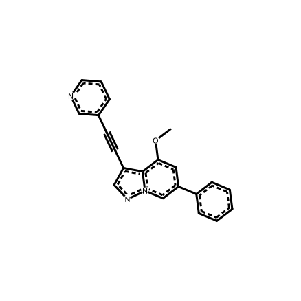 COc1cc(-c2ccccc2)cn2ncc(C#Cc3cccnc3)c12